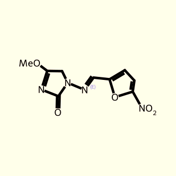 COC1=NC(=O)N(/N=C/c2ccc([N+](=O)[O-])o2)C1